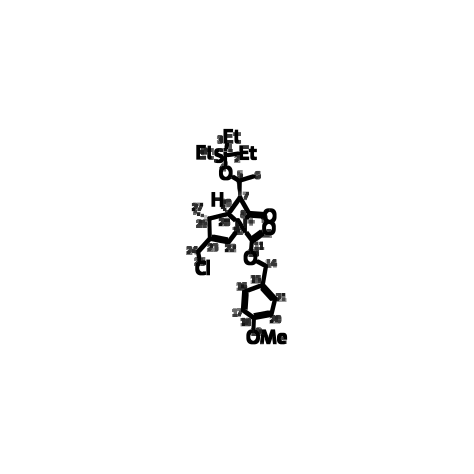 CC[Si](CC)(CC)OC(C)[C@H]1C(=O)[N+]2(C(=O)OCc3ccc(OC)cc3)C=C(CCl)[C@H](C)[C@@H]12